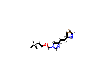 C[Si](C)(C)CCOCn1cnc(/C=C/c2cscn2)c1